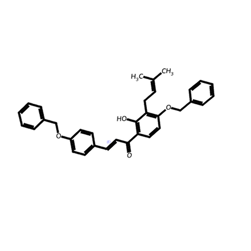 CC(C)=CCc1c(OCc2ccccc2)ccc(C(=O)/C=C/c2ccc(OCc3ccccc3)cc2)c1O